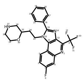 Fc1ccc2c(c1)nc(C(F)(F)F)c1nc(-c3ccccc3)n(CCC3CNCCO3)c12